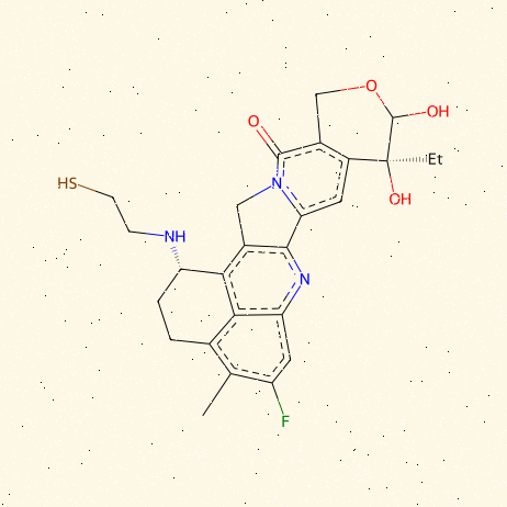 CC[C@]1(O)c2cc3n(c(=O)c2COC1O)Cc1c-3nc2cc(F)c(C)c3c2c1[C@@H](NCCS)CC3